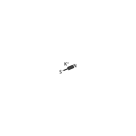 N#C[S-].[K+]